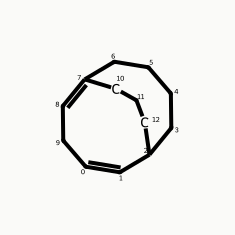 C1=CC2CCCCC(=CC1)CCC2